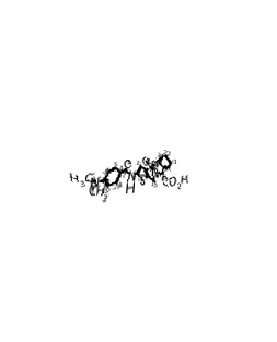 CN(C)c1ccc(C(=O)Nc2cc3c(s2)CN(C(C(=O)O)c2ccccc2)S3(=O)=O)cc1